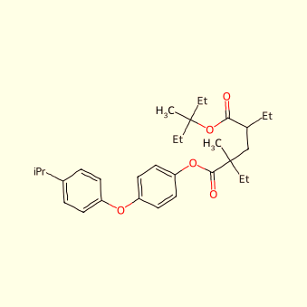 CCC(CC(C)(CC)C(=O)Oc1ccc(Oc2ccc(C(C)C)cc2)cc1)C(=O)OC(C)(CC)CC